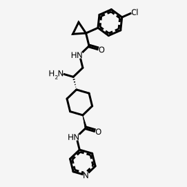 NC(CNC(=O)C1(c2ccc(Cl)cc2)CC1)[C@H]1CC[C@H](C(=O)Nc2ccncc2)CC1